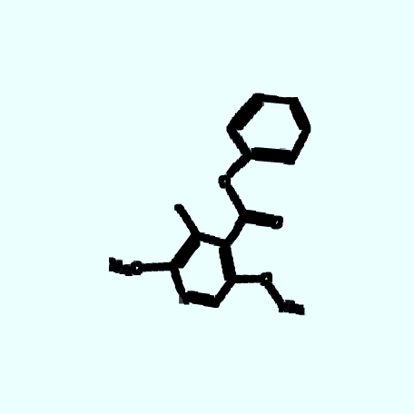 CCCCOc1cnc(OC)c(C)c1C(=O)Oc1ccccc1